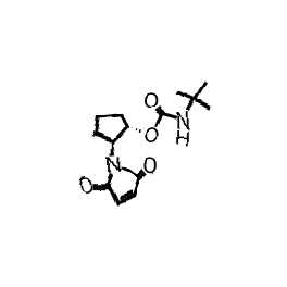 CC(C)(C)NC(=O)O[C@H]1CCC[C@@H]1N1C(=O)C=CC1=O